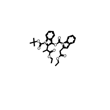 CCOC(=O)Cc1cc2ccccc2n1C(=O)Oc1c(C(C)C(=O)OCC)n(C(=O)OC(C)(C)C)c2ccccc12